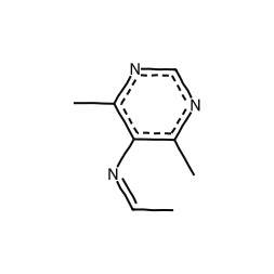 C/C=N\c1c(C)ncnc1C